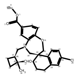 CC(C)(C)OC(=O)c1ccc2c(c1)N(C[C@@H]1CC[C@]1(C)C=O)C[C@@]1(CCCc3cc(Cl)ccc31)CO2